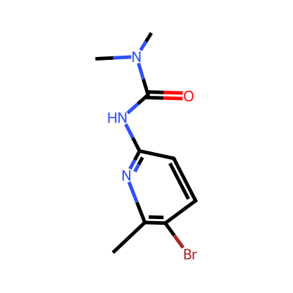 Cc1nc(NC(=O)N(C)C)ccc1Br